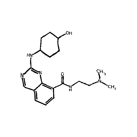 CN(C)CCNC(=O)c1cccc2cnc(NC3CCC(O)CC3)nc12